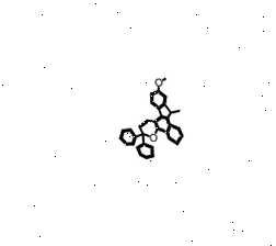 COc1ccc2c(c1)C(C)c1c-2c2c(c3ccccc13)OC(c1ccccc1)(c1ccccc1)C=C2